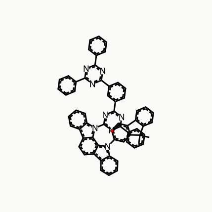 CC1(C)c2ccccc2-c2ccc(-n3c4ccccc4c4ccc5c6ccccc6n(-c6nc(-c7ccccc7)nc(-c7cccc(-c8nc(-c9ccccc9)nc(-c9ccccc9)n8)c7)n6)c5c43)cc21